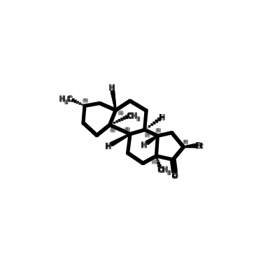 CC[C@@H]1C[C@H]2[C@@H]3CC[C@H]4C[C@@H](C)CC[C@]4(C)[C@H]3CC[C@]2(C)C1=O